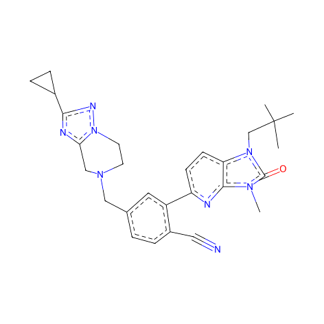 Cn1c(=O)n(CC(C)(C)C)c2ccc(-c3cc(CN4CCn5nc(C6CC6)nc5C4)ccc3C#N)nc21